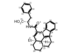 CC[C@@]12C=C(C(=O)N[C@@H](Cc3ccccc3)C(=O)O)n3c4c(c5ccccc53)CCN(CCC1)[C@H]42